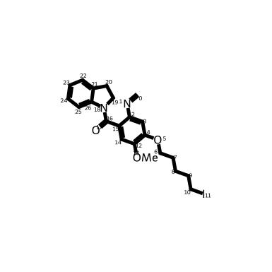 C=Nc1cc(OCCCCCI)c(OC)cc1C(=O)N1CCc2ccccc21